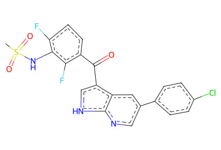 CS(=O)(=O)Nc1c(F)ccc(C(=O)c2c[nH]c3ncc(-c4ccc(Cl)cc4)cc23)c1F